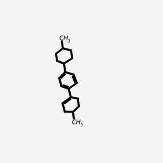 CC1CC=C(c2ccc(C3CCC(C)CC3)cc2)CC1